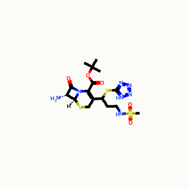 CC(C)(C)OC(=O)C1=C(C(CCNS(C)(=O)=O)Sc2nnn[nH]2)CS[C@H]2[C@H](N)C(=O)N12